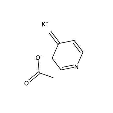 C=C1C=CN=CC1.CC(=O)[O-].[K+]